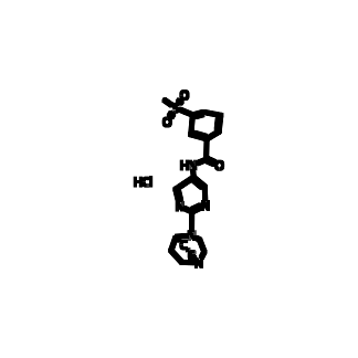 CS(=O)(=O)c1cccc(C(=O)Nc2cnc(N3CCN4CCC3CC4)nc2)c1.Cl